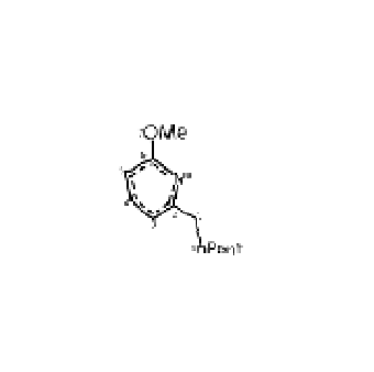 CCCCCCc1cccc(OC)n1